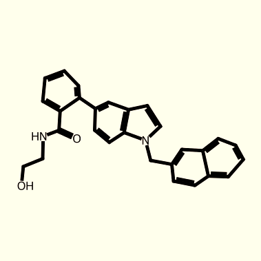 O=C(NCCO)c1ccccc1-c1ccc2c(ccn2Cc2ccc3ccccc3c2)c1